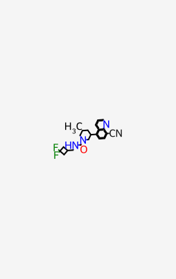 CC1CC(c2ccc(C#N)c3ncccc23)CN(C(=O)NCC2CC(F)(F)C2)C1